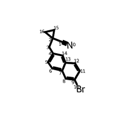 N#CC1(Cc2ccc3cc(Br)ccc3c2)CC1